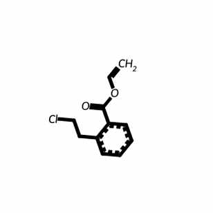 C=COC(=O)c1ccccc1CCCl